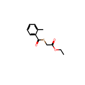 CCOC(=O)CSC(=O)c1ccccc1C